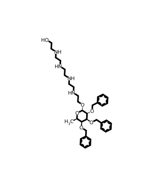 C[C@H]1O[C@H](OCCNCCNCCNCCNCCO)[C@H](OCc2ccccc2)[C@@H](OCc2ccccc2)[C@H]1OCc1ccccc1